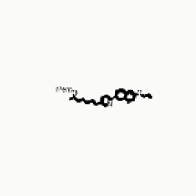 C=CCOc1ccc2cc(-c3ccc(C=CCCCC(C)OCCCCC)cn3)ccc2c1